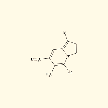 CCOC(=O)c1cc2c(Br)ccn2c(C(C)=O)c1C